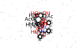 CC[C@@]1(OC(C)=O)C2[C@H](OC(=O)c3ccccc3)[C@]3(O)CC(OC(=O)[C@H](O)[C@@H](NC(=O)c4ccccc4)c4ccccc4)C(C)=C([C@@H](OC(C)=O)C(=O)[C@]2(C)[C@@H](O)C[C@H]1O)C3(C)C